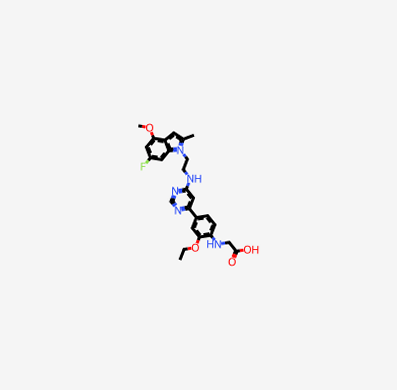 CCOc1cc(-c2cc(NCCn3c(C)cc4c(OC)cc(F)cc43)ncn2)ccc1NCC(=O)O